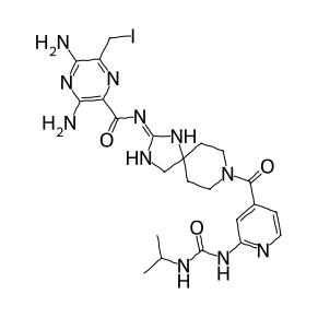 CC(C)NC(=O)Nc1cc(C(=O)N2CCC3(CC2)CN/C(=N\C(=O)c2nc(CI)c(N)nc2N)N3)ccn1